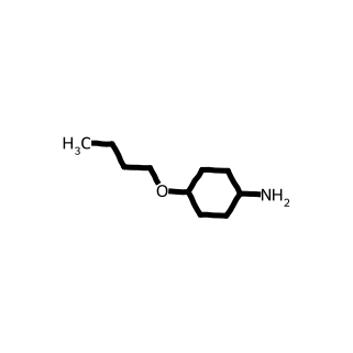 CCCCOC1CCC(N)CC1